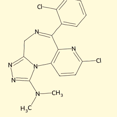 CN(C)c1nnc2n1-c1ccc(Cl)nc1C(c1ccccc1Cl)=NC2